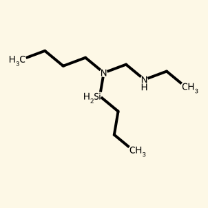 CCCCN(CNCC)[SiH2]CCC